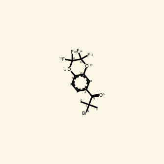 CC(C)(Br)C(=O)c1ccc2c(c1)OC(F)(F)C(F)(F)O2